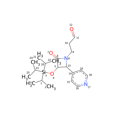 CC(C)[Si](OC1C(=O)N(CCC=O)C1c1ccncc1)(C(C)C)C(C)C